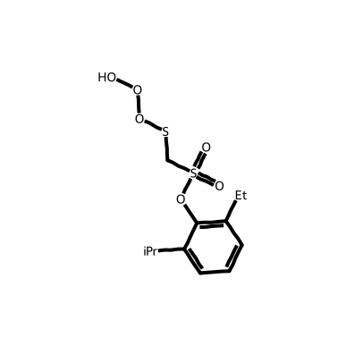 CCc1cccc(C(C)C)c1OS(=O)(=O)CSOOO